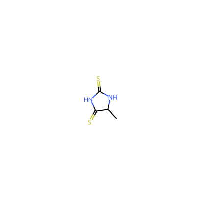 CC1NC(=S)NC1=S